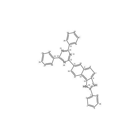 c1ccc(C2=[SH]c3ccc4cc(-c5nc(-c6ccccc6)nc(-c6ccccc6)n5)ccc4c3N2)cc1